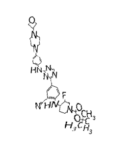 CC(C)(C)OC(=O)N1CCC(Nc2ccc(-c3ncnc(Nc4ccc(N5CCN(C6COC6)CC5)cc4)n3)cc2C#N)C(F)C1